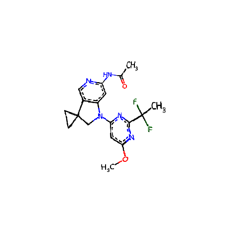 COc1cc(N2CC3(CC3)c3cnc(NC(C)=O)cc32)nc(C(C)(F)F)n1